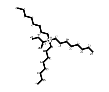 CCCCCCC[CH2][Sn]([CH2]CCCCCCC)([CH2]CCCCCCC)[CH](C)CC